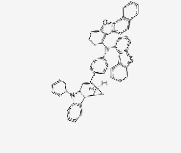 C1=CCC(N2c3ccccc3C3C4C[C@@H]4C(c4ccc(N(C5=c6c(oc7c6ccc6ccccc67)=CCC5)c5cccc6sc7ccccc7c56)cc4)=CC32)C=C1